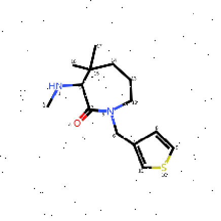 CNC1C(=O)N(Cc2ccsc2)CCCC1(C)C